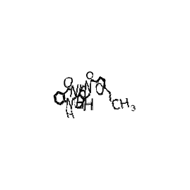 CCCc1ccc(C(=O)N2C[C@H]3CC[C@]4(NC(=O)c5ccccc5N4)[C@H]3C2)o1